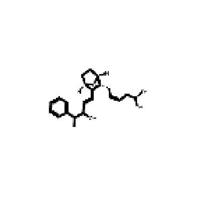 CC[C@@H](O)C/C=C\C[C@@H]1C(/C=C/C(O)C(C)c2ccccc2)[C@H]2CC[C@H]1O2